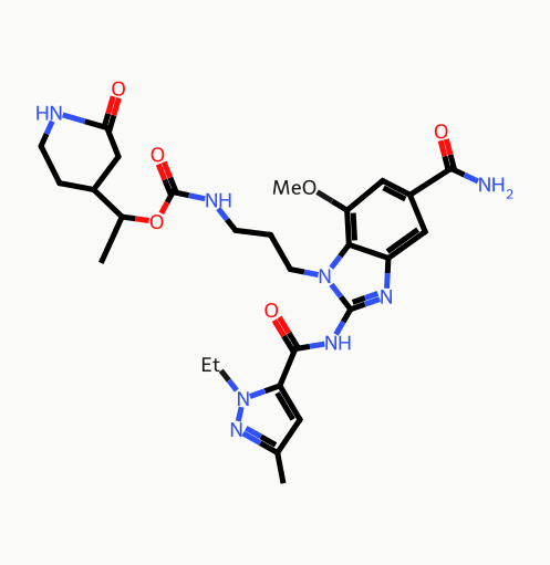 CCn1nc(C)cc1C(=O)Nc1nc2cc(C(N)=O)cc(OC)c2n1CCCNC(=O)OC(C)C1CCNC(=O)C1